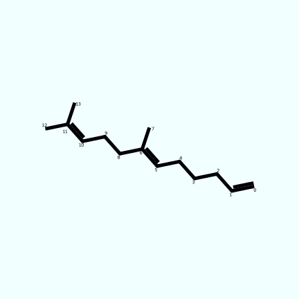 C=CCCC/C=C(\C)CCC=C(C)C